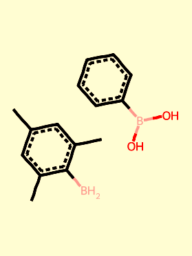 Bc1c(C)cc(C)cc1C.OB(O)c1ccccc1